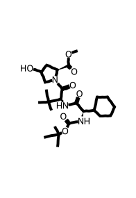 COC(=O)[C@@H]1CC(O)CN1C(=O)[C@@H](NC(=O)[C@@H](NC(=O)OC(C)(C)C)C1CCCCC1)C(C)(C)C